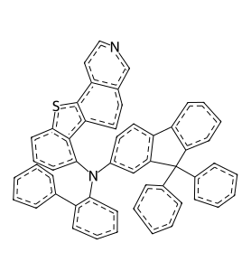 c1ccc(-c2ccccc2N(c2ccc3c(c2)C(c2ccccc2)(c2ccccc2)c2ccccc2-3)c2cccc3sc4c5ccncc5ccc4c23)cc1